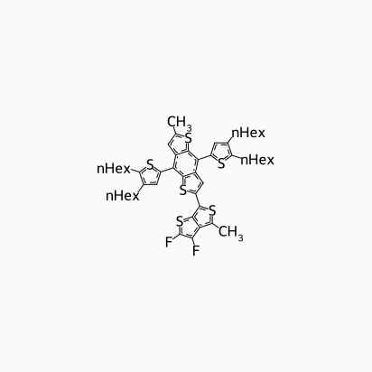 CCCCCCc1cc(-c2c3cc(-c4sc(C)c5c(F)c(F)sc45)sc3c(-c3cc(CCCCCC)c(CCCCCC)s3)c3cc(C)sc23)sc1CCCCCC